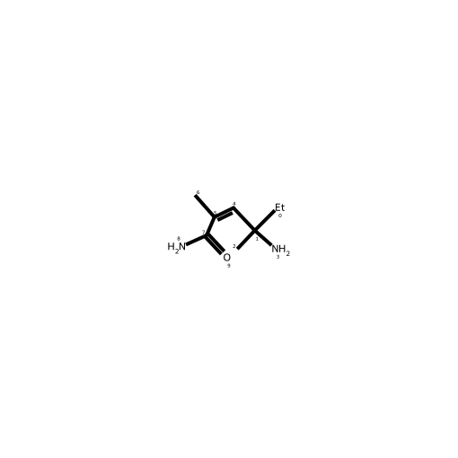 CCC(C)(N)C=C(C)C(N)=O